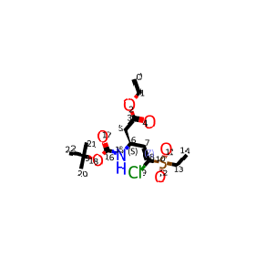 CCOC(=O)C[C@@H](/C=C(\Cl)S(=O)(=O)CC)NC(=O)OC(C)(C)C